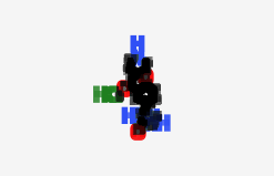 Cl.O=C1CC2(CCNCC2)Oc2ccc(-c3n[nH]c(=O)[nH]3)cc21